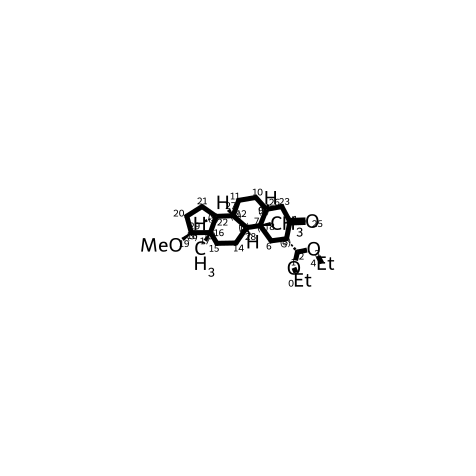 CCOC(OCC)[C@@H]1C[C@@]2(C)[C@@H](CC[C@@H]3[C@@H]2CC[C@]2(C)[C@@H](OC)CC[C@@H]32)CC1=O